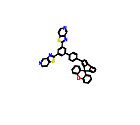 c1ccc2c(c1)Oc1ccccc1C21c2ccccc2-c2ccc(-c3ccc(-c4cc(-c5nc6cnccc6s5)cc(-c5nc6cnccc6s5)c4)cc3)cc21